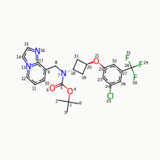 CC(C)(C)OC(=O)N(Cc1cccn2ccnc12)[C@H]1C[C@H](Oc2cc(Cl)cc(C(F)(F)F)c2)C1